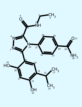 CCNC(=O)c1nnc(-c2cc(C(C)C)c(O)cc2O)n1-c1ccc(C(N)=O)cc1